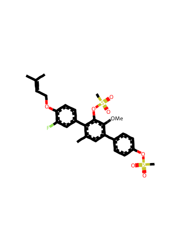 COc1c(-c2ccc(OS(C)(=O)=O)cc2)cc(C)c(-c2ccc(OCC=C(C)C)c(F)c2)c1OS(C)(=O)=O